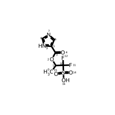 CC(OC(=O)c1cnc[nH]1)C(F)(F)S(=O)(=O)O